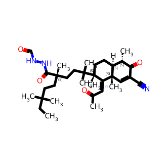 CCC(C)(C)CC[C@@](C)(CCC(C)(C)[C@]1(C)CC[C@H]2[C@H](C)C(=O)C(C#N)=C[C@]2(C)/C1=C/C(C)=O)C(=O)NNC=O